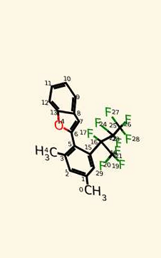 Cc1[c]c(C)c(-c2cc3ccccc3o2)c(C(F)(C(F)(F)F)C(F)(F)C(F)(F)F)c1